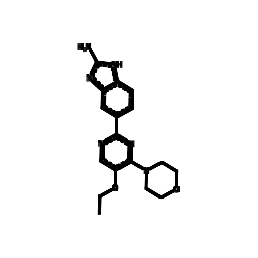 CCOc1cnc(-c2ccc3[nH]c(N)nc3c2)nc1N1CCOCC1